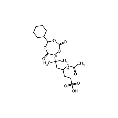 CC(=O)NC(CCS(=O)(=O)O)CC(C)(C)[C@H]1OC(=O)OC(C2CCCCC2)OC1=O